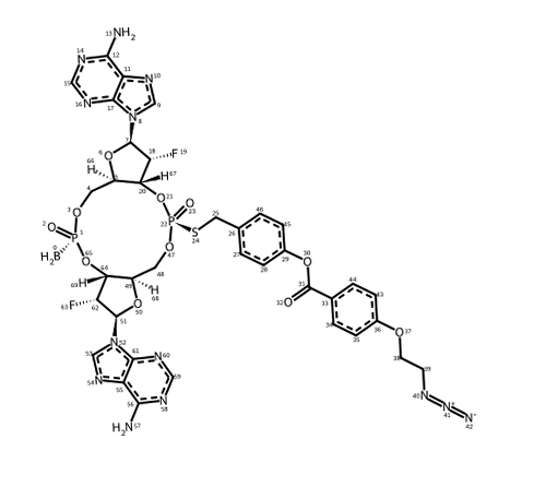 B[P@]1(=O)OC[C@H]2O[C@@H](n3cnc4c(N)ncnc43)[C@H](F)[C@@H]2O[P@@](=O)(SCc2ccc(OC(=O)c3ccc(OCCN=[N+]=[N-])cc3)cc2)OC[C@H]2O[C@@H](n3cnc4c(N)ncnc43)[C@H](F)[C@@H]2O1